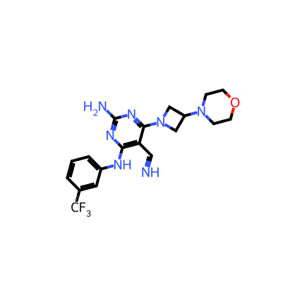 N=Cc1c(Nc2cccc(C(F)(F)F)c2)nc(N)nc1N1CC(N2CCOCC2)C1